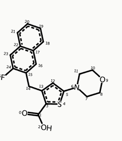 O=C(O)c1sc(N2CCOCC2)cc1Cc1cc2ccccc2cc1F